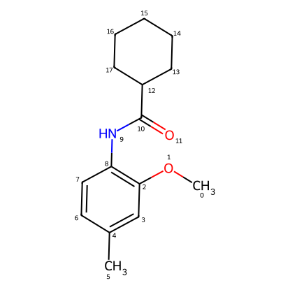 COc1cc(C)ccc1NC(=O)C1CCCCC1